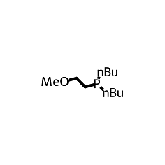 CCCCP(CCCC)CCOC